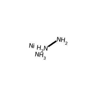 N.NN.[Ni]